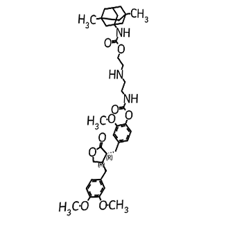 COc1ccc(C[C@H]2COC(=O)[C@@H]2Cc2ccc(OC(=O)NCCNCCOC(=O)NC34CC5CC(C)(CC(C)(C5)C3)C4)c(OC)c2)cc1OC